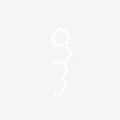 NCCCC(=O)Sc1ccccc1